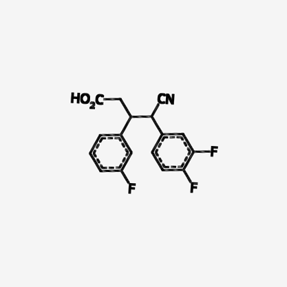 N#CC(c1ccc(F)c(F)c1)C(CC(=O)O)c1cccc(F)c1